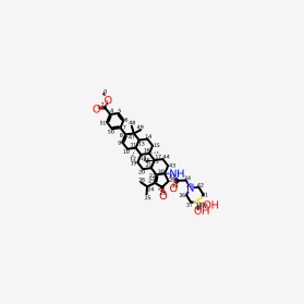 COC(=O)c1ccc(C2=CC[C@@]3(C)C(CC[C@]4(C)C3CCC3C5=C(C(C)C)C(=O)C[C@]5(NC(=O)CN5CCS(O)(O)CC5)CC[C@]34C)C2(C)C)cc1